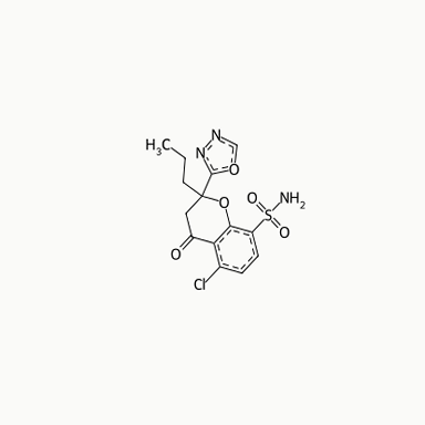 CCCC1(c2nnco2)CC(=O)c2c(Cl)ccc(S(N)(=O)=O)c2O1